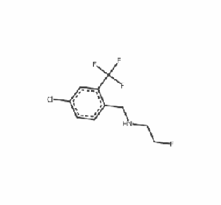 FCCNCc1ccc(Cl)cc1C(F)(F)F